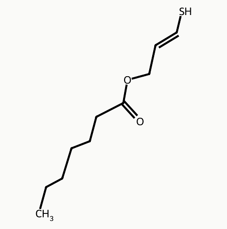 CCCCCCC(=O)OCC=CS